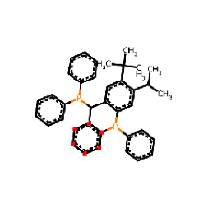 CC(C)c1cc(P(c2ccccc2)c2ccccc2)c(C(c2ccccc2)P(c2ccccc2)c2ccccc2)cc1C(C)(C)C